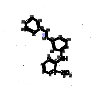 O=[N+]([O-])c1cccnc1Nc1cccc(/C=C/c2cccnc2)c1